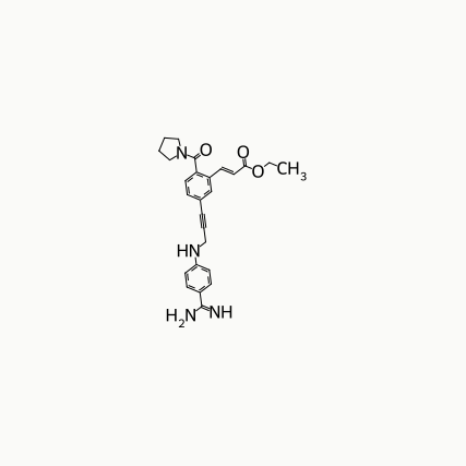 CCOC(=O)C=Cc1cc(C#CCNc2ccc(C(=N)N)cc2)ccc1C(=O)N1CCCC1